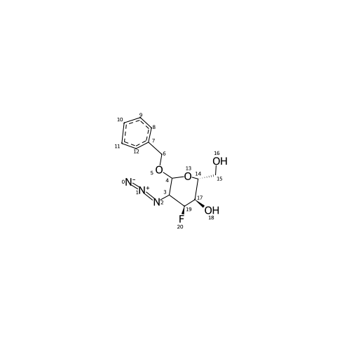 [N-]=[N+]=NC1C(OCc2ccccc2)O[C@H](CO)[C@@H](O)[C@H]1F